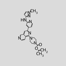 C=C(C)OC(=O)N1CCN(c2nc(-c3ccnc(Nc4ccn(C)n4)c3)cc3cnccc23)CC1